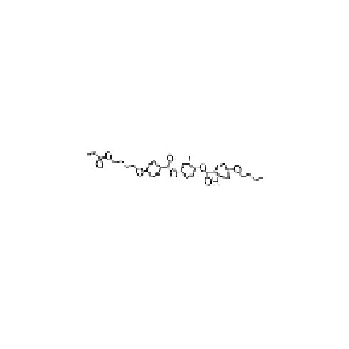 C=CC(=O)OCCCCOc1ccc(C(=O)Oc2ccc(OC(O)c3ccc(OCCCC)cc3)c(C)c2)cc1